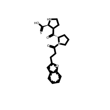 O=C(C1CCN[C@@H]1C(O)=S)[C@@H]1CCCN1C(=O)CCc1cc2ccccc2o1